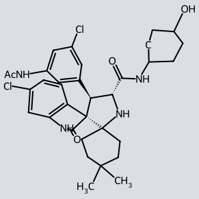 CC(=O)Nc1cc(Cl)cc([C@H]2[C@H](C(=O)NC3CCC(O)CC3)NC3(CCC(C)(C)CC3)[C@@]23C(=O)Nc2cc(Cl)ccc23)c1